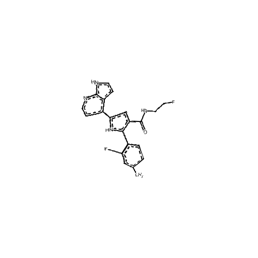 Cc1ccc(-c2[nH]c(-c3ccnc4[nH]ccc34)cc2C(=O)NCCF)c(F)c1